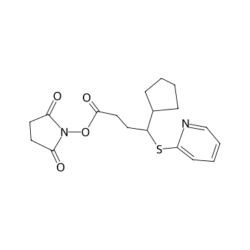 O=C(CCC(Sc1ccccn1)C1CCCC1)ON1C(=O)CCC1=O